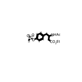 CCOC(=O)CC(Cc1ccc(OS(C)(=O)=O)cc1)NC(C)=O